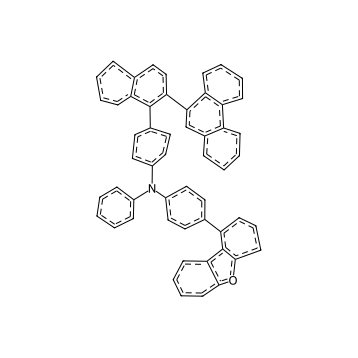 c1ccc(N(c2ccc(-c3c(-c4cc5ccccc5c5ccccc45)ccc4ccccc34)cc2)c2ccc(-c3cccc4oc5ccccc5c34)cc2)cc1